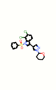 O=S(=O)(c1ccccc1)n1cc(-c2cnn(C3CCCCO3)c2)c2ccc(Cl)c(Cl)c21